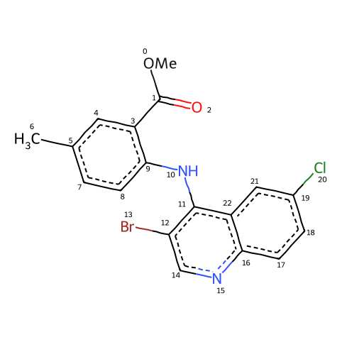 COC(=O)c1cc(C)ccc1Nc1c(Br)cnc2ccc(Cl)cc12